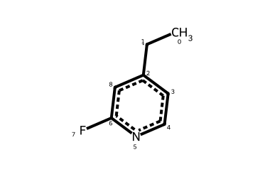 C[CH]c1ccnc(F)c1